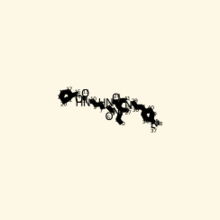 CCCN1C(=O)[C@H](CCCCNC(=O)OCc2ccccc2)NC(=O)C12CCN(C/C=C/c1ccc(N(C)C)cc1)CC2